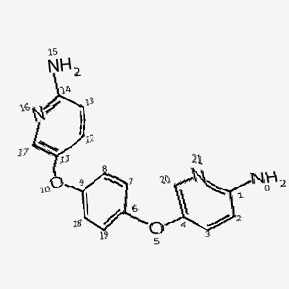 Nc1ccc(Oc2ccc(Oc3ccc(N)nc3)cc2)cn1